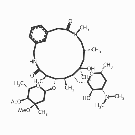 CO[C@]1(C)C[C@H](O[C@H]2[C@H](C)[C@@H](C[C@@H]3O[C@H](C)C[C@H](N(C)C)[C@H]3O)[C@](C)(O)C[C@@H](C)CN(C)C(=O)Cc3cccc(c3)CNC(=O)[C@@H]2C)O[C@@H](C)[C@@H]1OC(C)=O